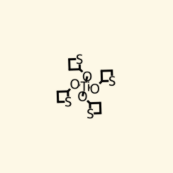 C1CC([O][Ti]([O]C2CCS2)([O]C2CCS2)[O]C2CCS2)S1